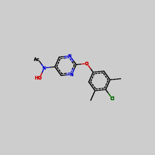 CC(=O)N(O)c1cnc(Oc2cc(C)c(Cl)c(C)c2)nc1